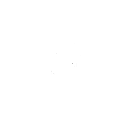 Cc1ccccc1C(=O)Nc1nc(-c2ccccc2)cs1